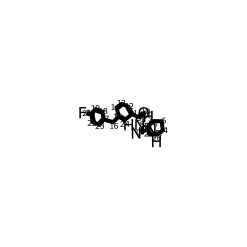 N#CN1[C@H]2CC[C@@H]1[C@H](NC(=O)c1cccc(Cc3ccc(F)cc3)c1)C2